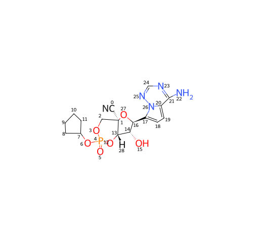 N#C[C@@]12COP(=O)(OC3CCCC3)O[C@H]1[C@@H](O)[C@H](c1ccc3c(N)ncnn13)O2